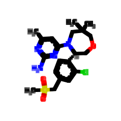 Cc1cc(N2CC(C)(C)COC[C@@H]2c2ccc(CS(C)(=O)=O)cc2Cl)nc(N)n1